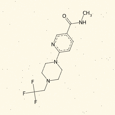 CNC(=O)c1ccc(N2CCN(CC(F)(F)F)CC2)nc1